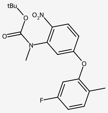 Cc1ccc(F)cc1Oc1ccc([N+](=O)[O-])c(N(C)C(=O)OC(C)(C)C)c1